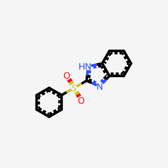 O=S(=O)(c1ccccc1)c1nc2ccccc2[nH]1